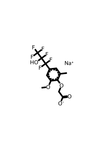 COc1cc(C(F)(F)C(O)(F)C(F)(F)F)cc(C)c1OCC(=O)[O-].[Na+]